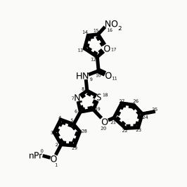 CCCOc1ccc(-c2nc(NC(=O)c3ccc([N+](=O)[O-])o3)sc2Oc2ccc(C)cc2)cc1